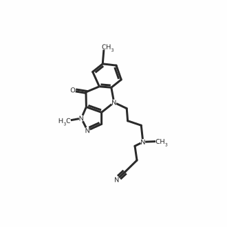 Cc1ccc2c(c1)c(=O)c1c(cnn1C)n2CCCN(C)CCC#N